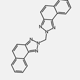 c1ccc2c(c1)ccc1nn(Cn3nc4ccc5ccccc5c4n3)nc12